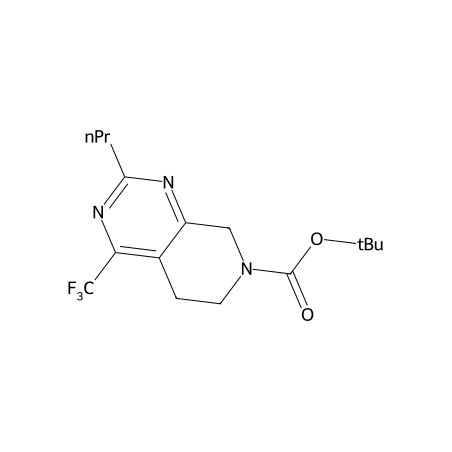 CCCc1nc2c(c(C(F)(F)F)n1)CCN(C(=O)OC(C)(C)C)C2